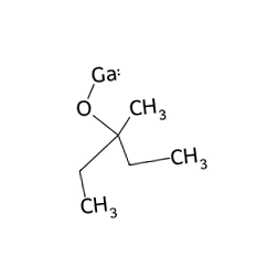 CCC(C)(CC)[O][Ga]